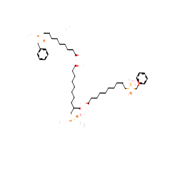 CP(=O)(O)CC(CCCCCCCC(=O)OC(=O)CCCCCCC(CP(=O)(O)Cc1ccccc1)C(=O)O)C(=O)OC(=O)CCCCCCCC(CP(=O)(O)Cc1ccccc1)C(=O)O